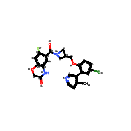 Cc1ccncc1-c1cc(Cl)ccc1OCC1CN(C(=O)c2cc3c(cc2F)OCC(=O)N3)C1